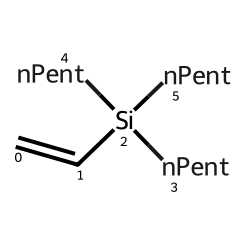 C=C[Si](CCCCC)(CCCCC)CCCCC